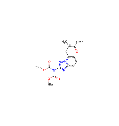 COC(=O)[C@@H](C)Cc1cccc2nc(N(C(=O)OC(C)(C)C)C(=O)OC(C)(C)C)nn12